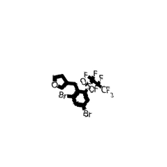 O=S(=O)(c1cc(Br)[c]c(Br)c1CC1CCOC1)C(F)(F)C(F)(F)C(F)(F)F